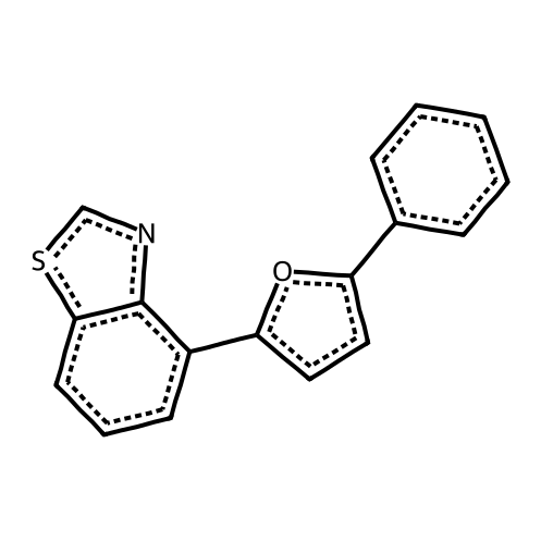 c1ccc(-c2ccc(-c3cccc4scnc34)o2)cc1